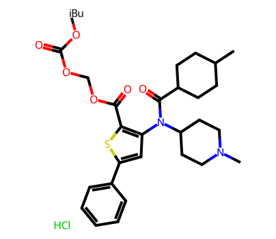 CCC(C)OC(=O)OCOC(=O)c1sc(-c2ccccc2)cc1N(C(=O)C1CCC(C)CC1)C1CCN(C)CC1.Cl